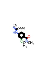 CS/C(=N\C#N)Nc1ccc(C(=O)N(C)C)c(Cl)c1